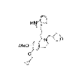 COc1cc2c(cc1OCC1CC1)CCN(CC1CCOCC1)C2CCc1c[nH]c2ccccc12